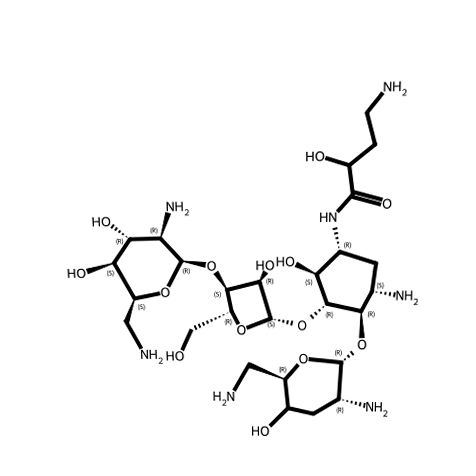 NCCC(O)C(=O)N[C@@H]1C[C@H](N)[C@@H](O[C@H]2O[C@H](CN)C(O)C[C@H]2N)[C@H](O[C@@H]2O[C@H](CO)[C@@H](O[C@H]3O[C@@H](CN)[C@@H](O)[C@H](O)[C@H]3N)[C@H]2O)[C@H]1O